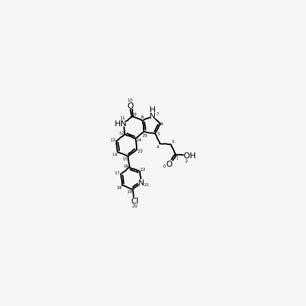 O=C(O)CCc1c[nH]c2c(=O)[nH]c3ccc(-c4ccc(Cl)nc4)cc3c12